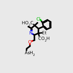 CCC1(C(=O)O)C(COCC[AsH2])N=C(C)C(C)(C(=O)O)C1c1ccccc1Cl